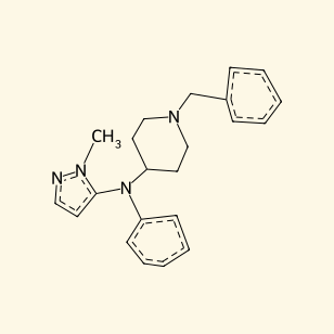 Cn1nccc1N(c1ccccc1)C1CCN(Cc2ccccc2)CC1